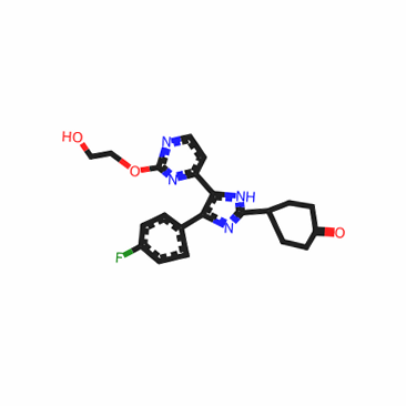 O=C1CCC(c2nc(-c3ccc(F)cc3)c(-c3ccnc(OCCO)n3)[nH]2)CC1